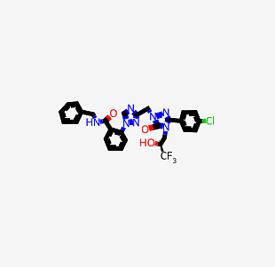 O=C(NCc1ccccc1)c1ccccc1-n1cnc(Cn2nc(-c3ccc(Cl)cc3)n(C[C@H](O)C(F)(F)F)c2=O)n1